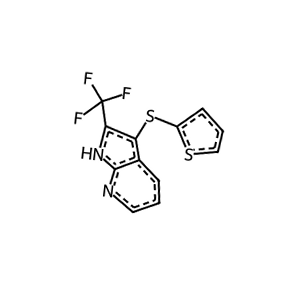 FC(F)(F)c1[nH]c2ncccc2c1Sc1cccs1